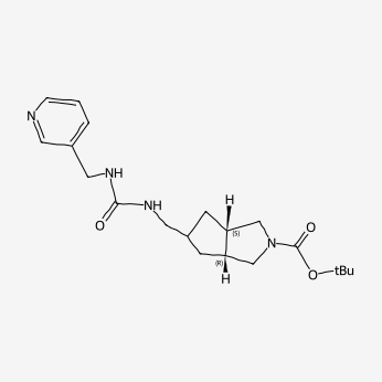 CC(C)(C)OC(=O)N1C[C@H]2CC(CNC(=O)NCc3cccnc3)C[C@H]2C1